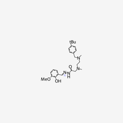 COc1cccc(/C=N/NC(=O)CN(C)CCN(C)Cc2ccc(C(C)(C)C)cc2)c1O